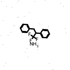 FC(F)(F)C(Cc1ccccc1)c1ccccc1.N